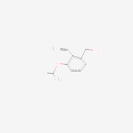 C=Cc1c(CO)cccc1OC(C)C